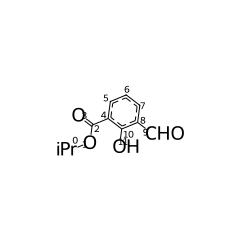 CC(C)OC(=O)c1cccc(C=O)c1O